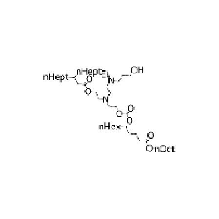 CCCCCCCCOC(=O)CCCC(CCCCCC)OC(=O)OCCN(CCOC(=O)CC(CCCCCCC)CCCCCCC)CCN(CC)CCCO